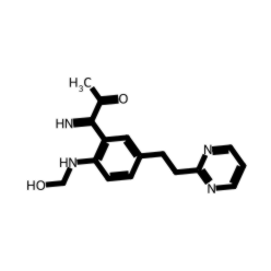 CC(=O)C(=N)c1cc(CCc2ncccn2)ccc1NCO